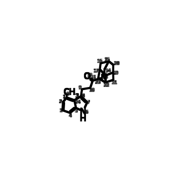 Cc1cccc2[nH]cc(CCC(=O)N3CC4CC5CC(C4)CC3C5)c12